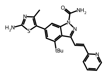 Cc1nc(N)sc1-c1cc(C(C)(C)C)c2c(C=Cc3ccccn3)nn(C(N)=O)c2c1